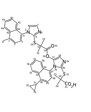 Cc1ccc(-n2ccnc2SC(C)(C)C(=O)Oc2cnc(SC(C)(C)C(=O)O)n2-c2ccc(C3CC3)c3ccccc23)c2ccccc12